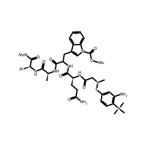 CNC(=O)[C@@H](NC(=O)[C@H](C)NC(=O)C(Cc1cn(C(=O)OC(C)(C)C)c2ccccc12)NC(=O)[C@H](CCC(N)=O)NC(=O)CN(C)Sc1ccc([N+](C)(C)C)c(N)c1)C(C)C